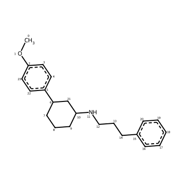 COc1ccc(C2CCCC(NCCCc3ccccc3)C2)cc1